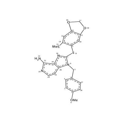 COc1ccc(Cn2c(Sc3cc4c(cc3SC)OCO4)nc3c(N)nccc32)cc1